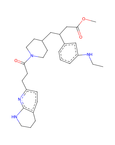 CCNc1cccc(C(CC(=O)OC)CC2CCN(C(=O)CCc3ccc4c(n3)NCCC4)CC2)c1